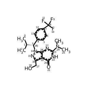 CC(C)[C@H](c1ccc(C(F)(F)F)cc1)n1nc(CO)c2c(=O)[nH]c(N(C)C)nc21